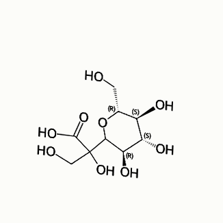 O=C(O)C(O)(CO)C1O[C@H](CO)[C@@H](O)[C@H](O)[C@H]1O